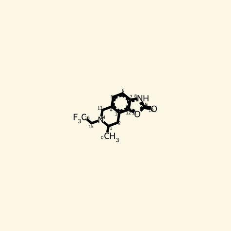 CC1Cc2c(ccc3[nH]c(=O)oc23)CN1CC(F)(F)F